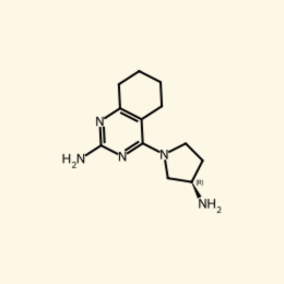 Nc1nc2c(c(N3CC[C@@H](N)C3)n1)CCCC2